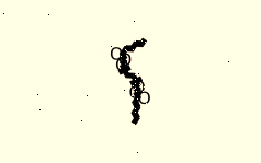 CC=CC=CC(=O)OOC(C)(C)CCC(C)(C)OOC(=O)C=CC=CC